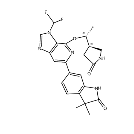 C[C@@H](Oc1nc(-c2ccc3c(c2)NC(=O)C3(C)C)cc2ncn(C(F)F)c12)[C@H]1CNC(=O)C1